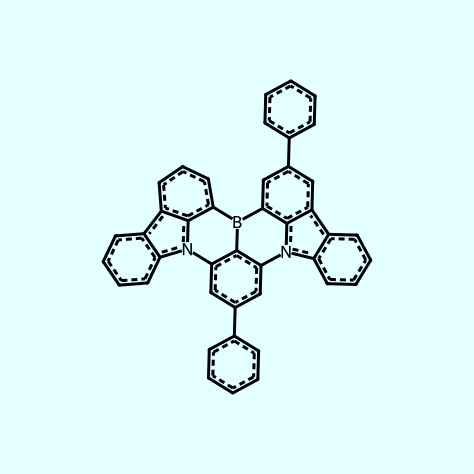 c1ccc(-c2cc3c4c(c2)-n2c5ccccc5c5cc(-c6ccccc6)cc(c52)B4c2cccc4c5ccccc5n-3c24)cc1